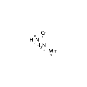 N.N.[Cr].[Mn]